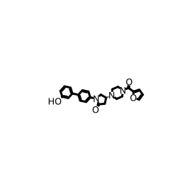 O=C(c1ccco1)N1CCN([C@@H]2CC(=O)N(c3ccc(-c4cccc(O)c4)cc3)C2)CC1